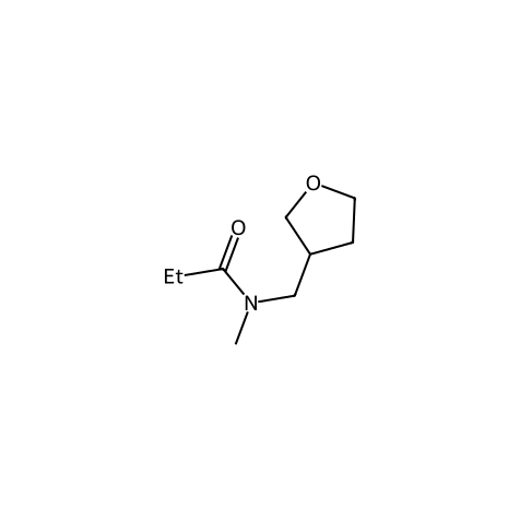 CCC(=O)N(C)CC1CCOC1